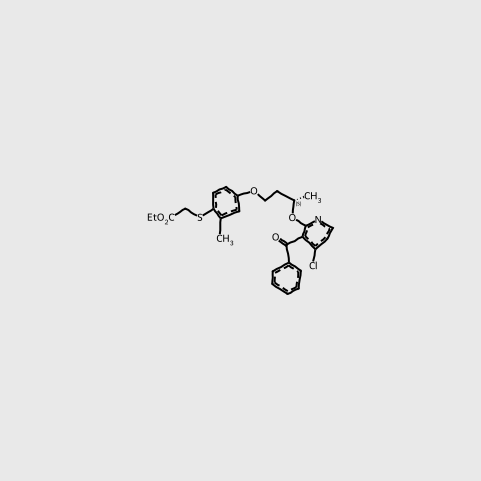 CCOC(=O)CSc1ccc(OCC[C@H](C)Oc2nccc(Cl)c2C(=O)c2ccccc2)cc1C